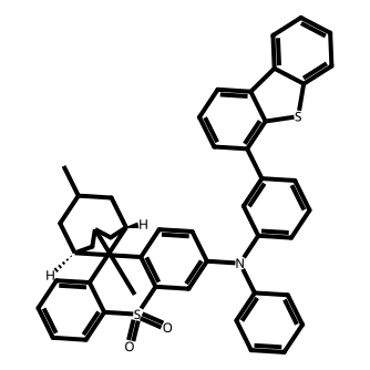 CC1C[C@H]2CC(C)C[C@H](C1)C21c2ccccc2S(=O)(=O)c2cc(N(c3ccccc3)c3cccc(-c4cccc5c4sc4ccccc45)c3)ccc21